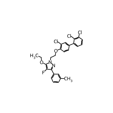 CCOc1c(F)c(-c2cccc(C)c2)nn1CCOc1ccc(-c2cccc(Cl)c2Cl)cc1Cl